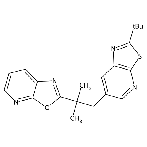 CC(C)(C)c1nc2cc(CC(C)(C)c3nc4cccnc4o3)cnc2s1